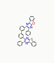 c1ccc(-c2nc3oc4ccccc4c3nc2-c2cccc(-c3cccc(-c4nc5sc6ccccc6c5nc4-c4ccccc4)c3)c2)cc1